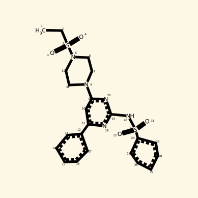 CCS(=O)(=O)N1CCN(c2cc(-c3ccccc3)nc(NS(=O)(=O)c3ccccc3)n2)CC1